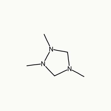 CN1CN(C)N(C)C1